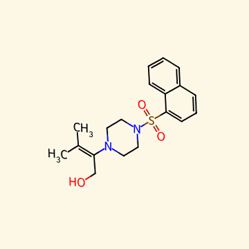 CC(C)=C(CO)N1CCN(S(=O)(=O)c2cccc3ccccc23)CC1